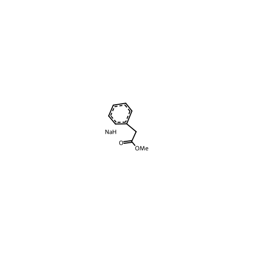 COC(=O)Cc1ccccc1.[NaH]